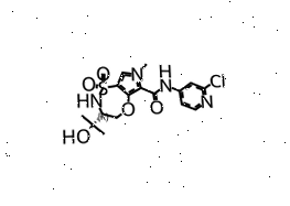 Cn1cc2c(c1C(=O)Nc1ccnc(Cl)c1)OC[C@H](C(C)(C)O)NS2(=O)=O